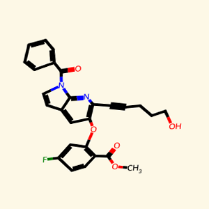 COC(=O)c1ccc(F)cc1Oc1cc2ccn(C(=O)c3ccccc3)c2nc1C#CCCCO